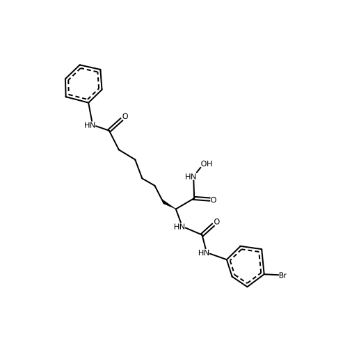 O=C(CCCCC[C@H](NC(=O)Nc1ccc(Br)cc1)C(=O)NO)Nc1ccccc1